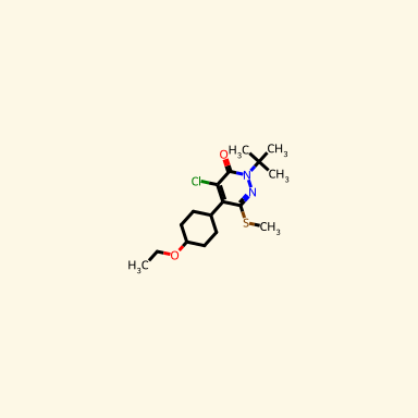 CCOC1CCC(c2c(SC)nn(C(C)(C)C)c(=O)c2Cl)CC1